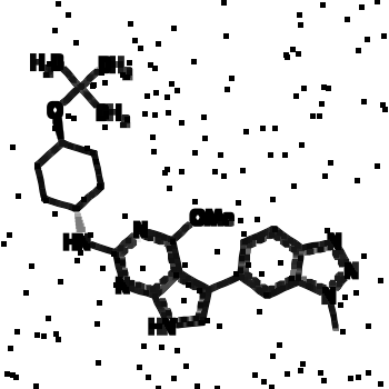 BC(B)(B)O[C@H]1CC[C@H](Nc2nc(OC)c3c(-c4ccc5nnn(C)c5c4)c[nH]c3n2)CC1